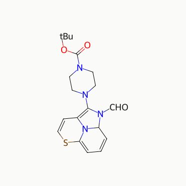 CC(C)(C)OC(=O)N1CCN(C2=C3C=CSC4=CC=CC(N2C=O)N43)CC1